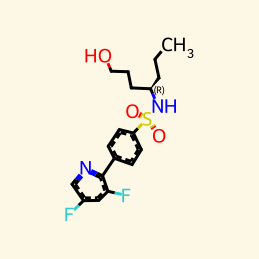 CCC[C@H](CCCO)NS(=O)(=O)c1ccc(-c2ncc(F)cc2F)cc1